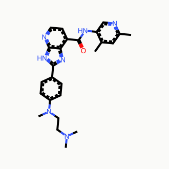 Cc1cc(C)c(NC(=O)c2ccnc3[nH]c(-c4ccc(N(C)CCN(C)C)cc4)nc23)cn1